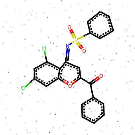 O=C(c1ccccc1)c1c/c(=N\S(=O)(=O)c2ccccc2)c2c(Cl)cc(Cl)cc2o1